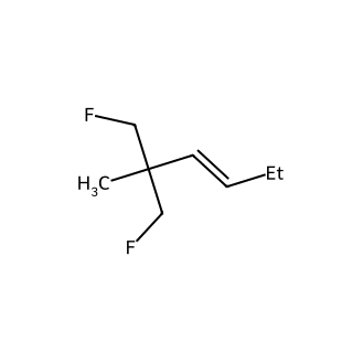 [CH2]CC=CC(C)(CF)CF